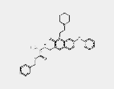 C[C@H](NCc1cc2ccc(Oc3ccccc3)cc2n(CCN2CCCCC2)c1=O)C(=O)NCc1ccncc1